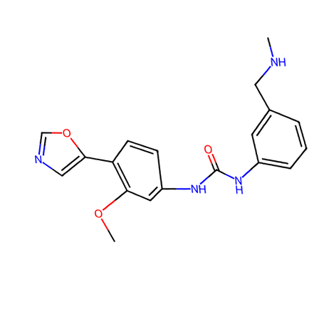 CNCc1cccc(NC(=O)Nc2ccc(-c3cnco3)c(OC)c2)c1